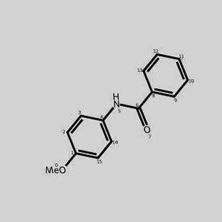 COc1ccc(NC(=O)c2cc[c]cc2)cc1